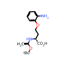 C=C(N[C@@H](CCOc1ccccc1N)C(=O)O)OC(C)(C)C